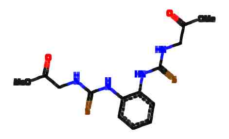 COC(=O)CNC(=S)Nc1ccccc1NC(=S)NCC(=O)OC